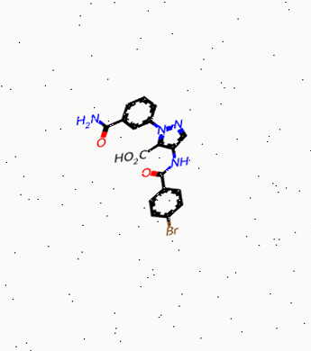 NC(=O)c1cccc(-n2ncc(NC(=O)c3ccc(Br)cc3)c2C(=O)O)c1